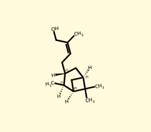 CC(=CC[C@@H]1C[C@@H]2C[C@H]([C@H]1C)C2(C)C)CO